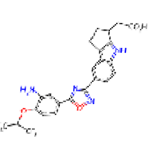 Nc1cc(-c2nc(-c3ccc4[nH]c5c(c4c3)CCC5CC(=O)O)no2)ccc1OC(C(F)(F)F)C(F)(F)F